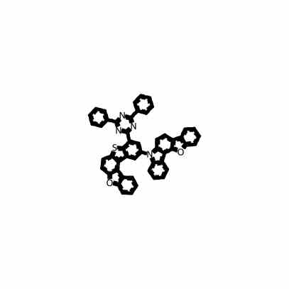 c1ccc(-c2nc(-c3ccccc3)nc(-c3cc(-n4c5ccccc5c5c6oc7ccccc7c6ccc54)cc4c3sc3ccc5oc6ccccc6c5c34)n2)cc1